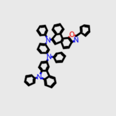 c1ccc(-c2nc3ccc4cc(N(c5ccccc5)c5cccc(N(c6ccccc6)c6ccc7c(c6)c6ccccc6n7-c6ccccc6)c5)c5ccccc5c4c3o2)cc1